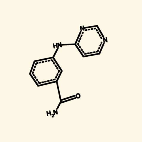 NC(=O)c1cccc(Nc2ccncn2)c1